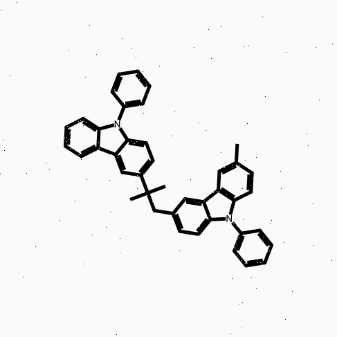 Cc1ccc2c(c1)c1cc(CC(C)(C)c3ccc4c(c3)c3ccccc3n4-c3ccccc3)ccc1n2-c1ccccc1